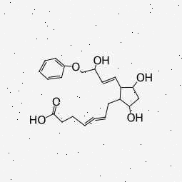 O=C(O)CCC=C=CCC1C(O)CC(O)C1C=CC(O)COc1ccccc1